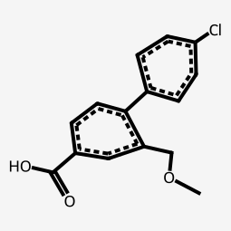 COCc1cc(C(=O)O)ccc1-c1ccc(Cl)cc1